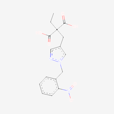 CCC(Cc1cnn(Cc2ccccc2[N+](=O)[O-])c1)(C(=O)O)C(=O)O